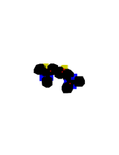 c1ccc(-c2nc(-c3ccccc3)nc(-c3ccc4sc5cc(-c6cccc(-c7nc(-c8ccccc8)nc8c7sc7ccccc78)c6)ccc5c4c3)n2)cc1